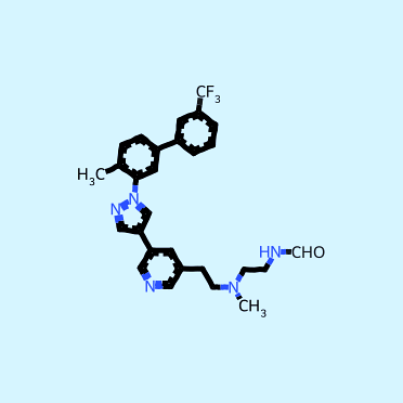 Cc1ccc(-c2cccc(C(F)(F)F)c2)cc1-n1cc(-c2cncc(CCN(C)CCNC=O)c2)cn1